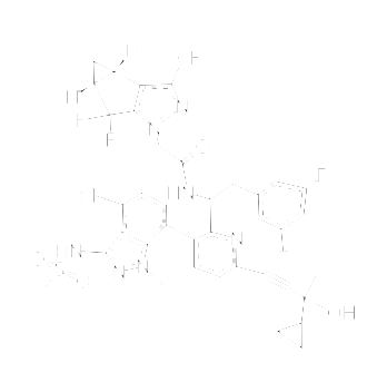 Cn1nc(NS(C)(=O)=O)c2c(Cl)ccc(-c3ccc(C#CC(C)(O)C4CC4)nc3C(Cc3cc(F)cc(F)c3)NC(=O)Cn3nc(C(F)(F)F)c4c3C(F)(F)[C@@H]3C[C@H]43)c21